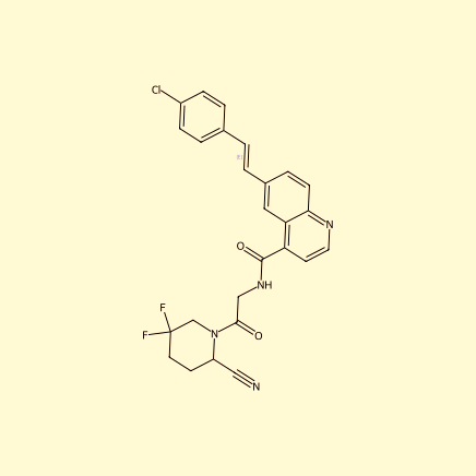 N#CC1CCC(F)(F)CN1C(=O)CNC(=O)c1ccnc2ccc(/C=C/c3ccc(Cl)cc3)cc12